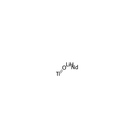 [LiH].[Nd].[O]=[Ti]